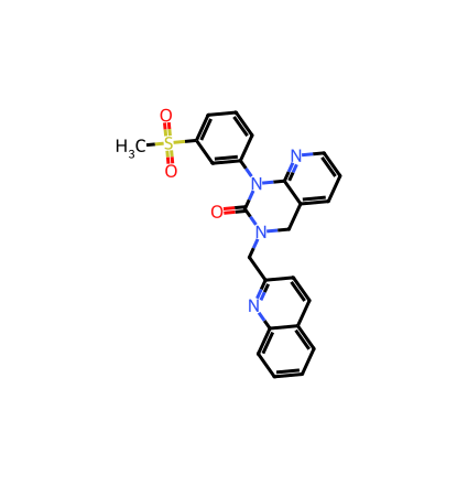 CS(=O)(=O)c1cccc(N2C(=O)N(Cc3ccc4ccccc4n3)Cc3cccnc32)c1